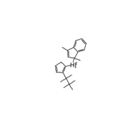 CC1=C[C](C)([Hf][C]2=C(C(C)(C)C(C)(C)C)C=CC2)c2ccccc21